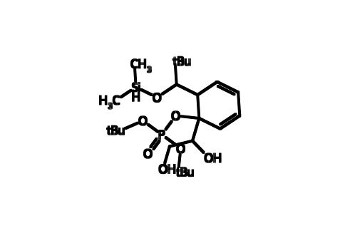 C[SiH](C)OC(C1C=CC=CC1(OP(=O)(OC(C)(C)C)OC(C)(C)C)C(O)CO)C(C)(C)C